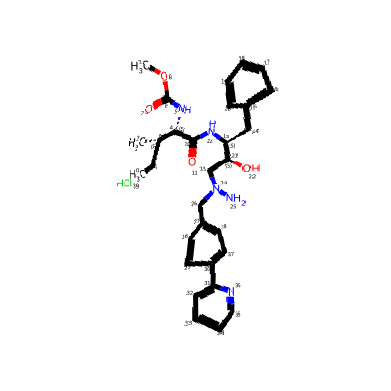 CC[C@H](C)[C@H](NC(=O)OC)C(=O)N[C@@H](Cc1ccccc1)[C@@H](O)CN(N)Cc1ccc(-c2ccccn2)cc1.Cl